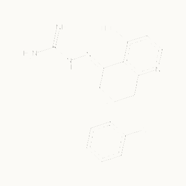 Cc1ccnc2c1C(=NNC(=N)N)C[C@@H](c1ccccc1Cl)C2